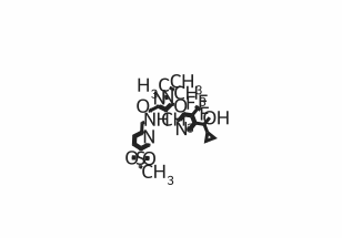 CCS(=O)(=O)c1ccc(CNC(=O)c2nn(C(C)(C)C)c(Oc3cncc(C(O)C4CC4)c3C(F)(F)F)c2C)nc1